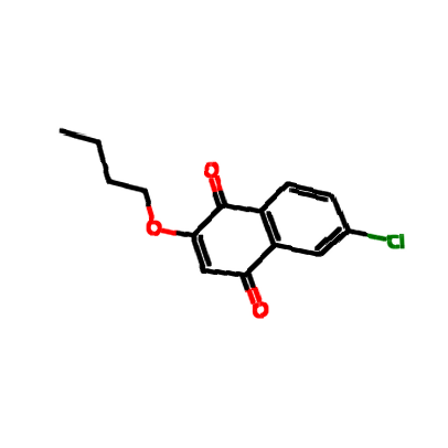 CCCCOC1=CC(=O)c2cc(Cl)ccc2C1=O